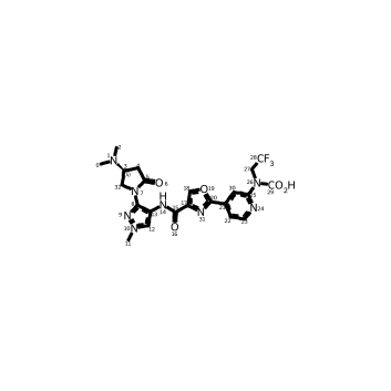 CN(C)[C@H]1CC(=O)N(c2nn(C)cc2NC(=O)c2coc(-c3ccnc(N(CC(F)(F)F)C(=O)O)c3)n2)C1